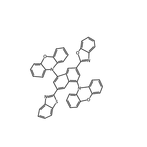 c1ccc2c(c1)Oc1ccccc1N2c1cc(-c2nc3ccccc3s2)cc2c(N3c4ccccc4Oc4ccccc43)cc(-c3nc4ccccc4o3)cc12